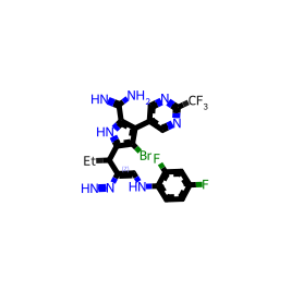 CCC(/C(=C/Nc1ccc(F)cc1F)N=N)c1[nH]c(C(=N)N)c(-c2cnc(C(F)(F)F)nc2)c1Br